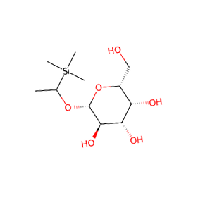 CC(O[C@@H]1O[C@H](CO)[C@H](O)[C@H](O)[C@H]1O)[Si](C)(C)C